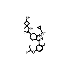 C[C@@H](C1CC1)n1nc(-c2cc(OC(F)F)ccc2F)c2c1CC(C(=O)NC1(C)CC(S)C1)CC2